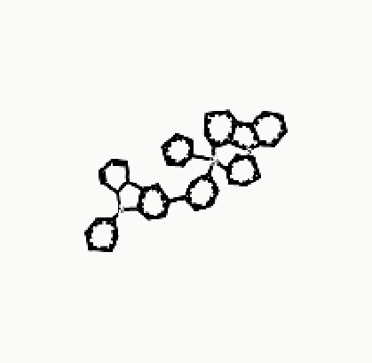 C1=CC2c3cc(-c4cccc([Si](c5ccccc5)(c5ccccc5)c5cccc6c5sc5ccccc56)c4)ccc3N(c3ccccc3)C2C=C1